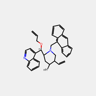 C=CCO[C@H](c1ccnc2ccccc12)C1CC(CCC)C(C=C)CN1Cc1c2ccccc2cc2ccccc12